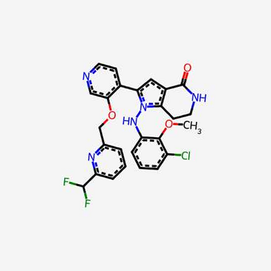 COc1c(Cl)cccc1Nn1c(-c2ccncc2OCc2cccc(C(F)F)n2)cc2c1CCNC2=O